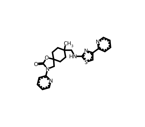 CC1(CNc2nc(-c3ccccn3)cs2)CCC2(CC1)CN(c1ccccn1)C(=O)O2